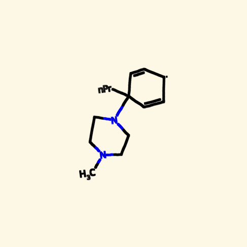 CCCC1(N2CCN(C)CC2)C=C[CH]C=C1